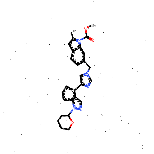 CC(C)(C)OC(=O)n1c(C=O)cc2ccc(Cn3cnc(-c4cccc5c4cnn5C4CCCCO4)c3)cc21